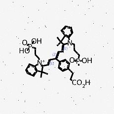 CC1(C)C(/C=C/C(=C/C=C2/N(CCCP(C)(=O)O)c3ccccc3C2(C)C)c2ccc(CCC(=O)O)cc2)=[N+](CCCP(=O)(O)O)c2ccccc21